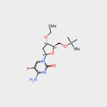 CSCO[C@H]1C[C@H](n2cc(I)c(N)nc2=O)O[C@@H]1CO[Si](C)(C)C(C)(C)C